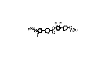 CCCCOc1ccc(C2CCC(C(=O)Oc3ccc(C4CCC(OCCCC)CC4)c(F)c3F)CC2)cc1F